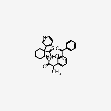 CNC(=S)[C@]1(c2cccnc2)CCCC[C@H]1OC(=O)C(C)c1cccc(C(=O)c2ccccc2)c1